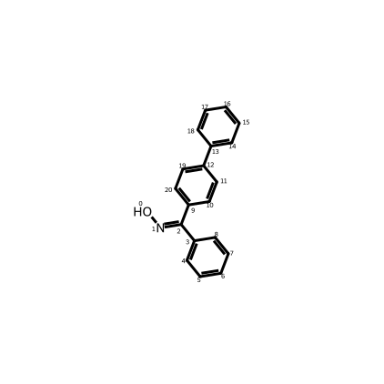 ON=C(c1ccccc1)c1ccc(-c2ccccc2)cc1